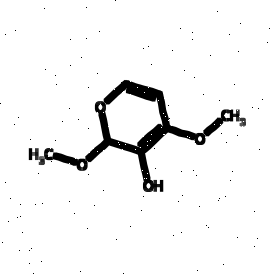 COC1=C(O)C(OC)OC=C1